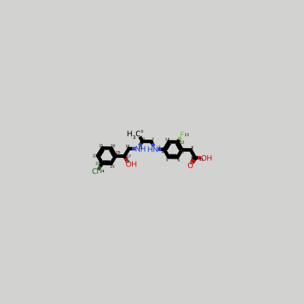 CC(CNc1ccc(CC(=O)O)c(F)c1)NCC(O)c1cccc(Cl)c1